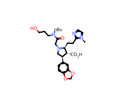 CCCCN(CCCO)C(=O)CN1C[C@H](c2ccc3c(c2)OCO3)[C@@H](C(=O)O)[C@@H]1CCc1nccn1C